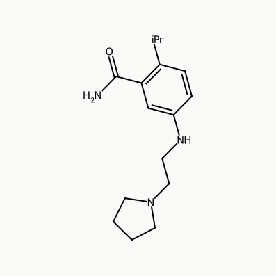 CC(C)c1ccc(NCCN2CCCC2)cc1C(N)=O